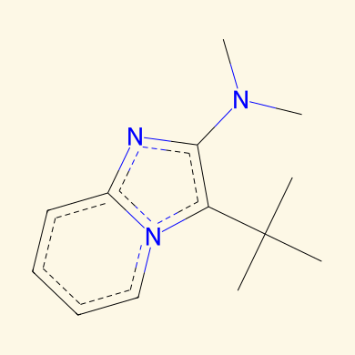 CN(C)c1nc2ccccn2c1C(C)(C)C